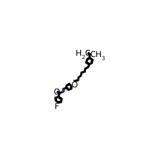 C=C(C)c1ccc(CCCCCCCCOc2ccc(/C=C/C(=O)c3ccc(F)cc3)cc2)cc1